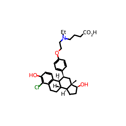 CCN(CCCC(=O)O)CCOc1ccc([C@H]2C[C@]3(C)[C@@H](O)CC[C@H]3[C@@H]3CCc4c(ccc(O)c4Cl)[C@H]32)cc1